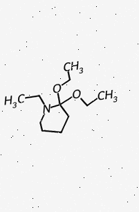 CCOC1(OCC)CCCCN1CC